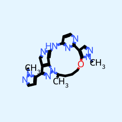 CC1CCCOc2c(cnn2C)-c2nccc(n2)Nc2cc3c(cn2)c(-c2ccnn2C)nn31